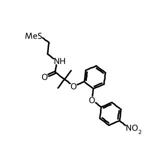 CSCCNC(=O)C(C)(C)Oc1ccccc1Oc1ccc([N+](=O)[O-])cc1